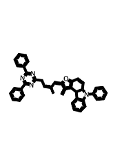 C=c1c2c(o/c1=C/C(C)=C\Cc1nc(-c3ccccc3)nc(-c3ccccc3)n1)C=CC1C2c2ccccc2N1c1ccccc1